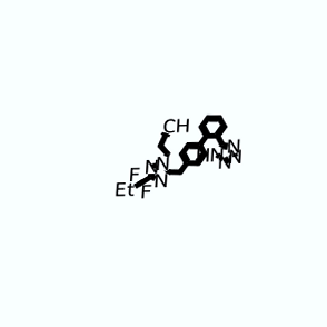 C#CCCn1nc(C(F)(F)CC)nc1Cc1ccc(-c2ccccc2-c2nnn[nH]2)cc1